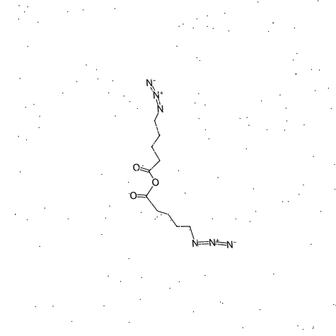 [N-]=[N+]=NCCCCC(=O)OC(=O)CCCCN=[N+]=[N-]